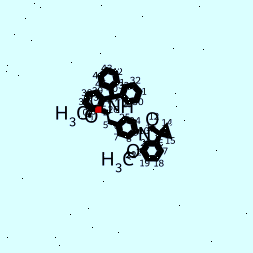 COC(=O)[C@H](Cc1ccc(N2C(=O)C3(CC3)c3cccc(OC)c32)cc1)NC(c1ccccc1)(c1ccccc1)c1ccccc1